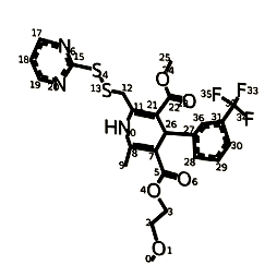 COCCOC(=O)C1=C(C)NC(CSSc2ncccn2)=C(C(=O)OC)C1c1cccc(C(F)(F)F)c1